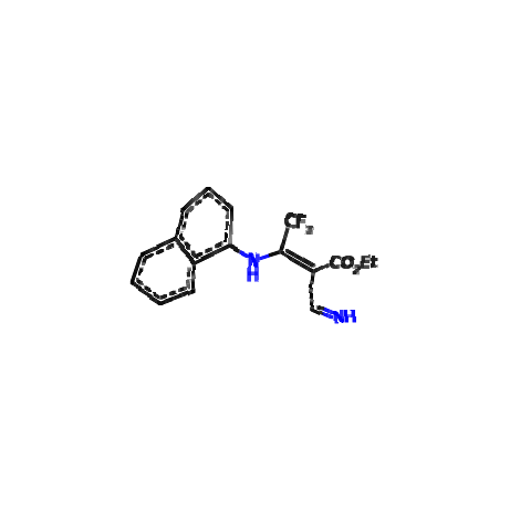 CCOC(=O)/C(C=N)=C(/Nc1cccc2ccccc12)C(F)(F)F